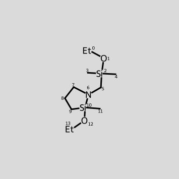 CCO[Si](C)(C)CN1CCC[Si]1(C)OCC